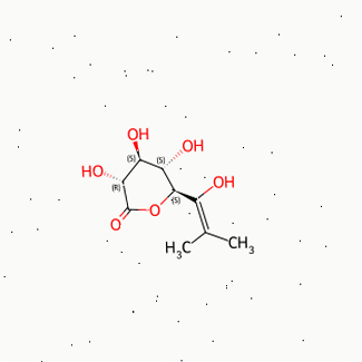 CC(C)=C(O)[C@H]1OC(=O)[C@H](O)[C@@H](O)[C@@H]1O